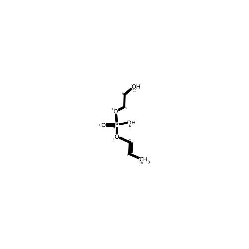 CC=COP(=O)(O)OCCO